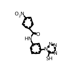 O=C(Nc1cccc(-n2nnnc2S)c1)c1ccc([N+](=O)[O-])cc1